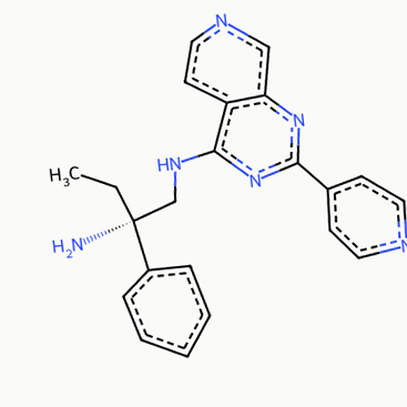 CC[C@@](N)(CNc1nc(-c2ccncc2)nc2cnccc12)c1ccccc1